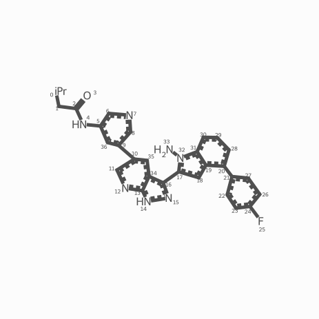 CC(C)CC(=O)Nc1cncc(-c2cnc3[nH]nc(-c4cc5c(-c6ccc(F)cc6)cccc5n4N)c3c2)c1